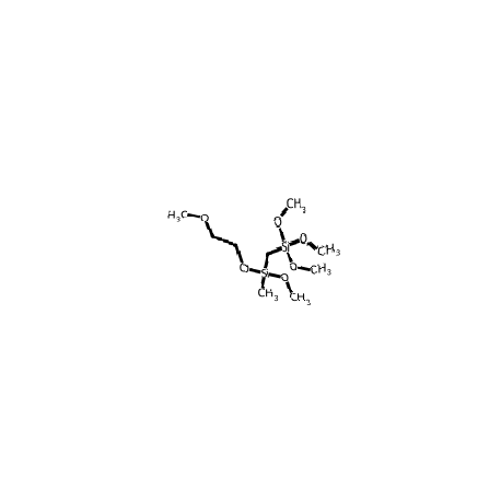 COCCO[Si](C)(C[Si](OC)(OC)OC)OC